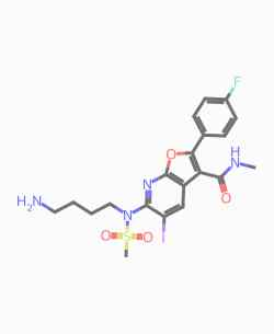 CNC(=O)c1c(-c2ccc(F)cc2)oc2nc(N(CCCCN)S(C)(=O)=O)c(I)cc12